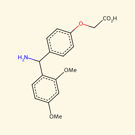 COc1ccc(C(N)c2ccc(OCC(=O)O)cc2)c(OC)c1